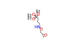 CCO[Si](CCCNOCC1CO1)(OCC)OCC